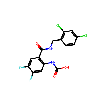 O=C(O)Nc1cc(F)c(F)cc1C(=O)NCc1ccc(Cl)cc1Cl